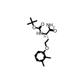 Cc1cccc(OCC[C@H](NC(=O)OC(C)(C)C)C(N)=O)c1C